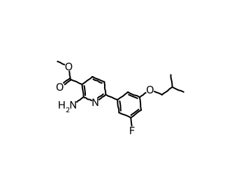 COC(=O)c1ccc(-c2cc(F)cc(OCC(C)C)c2)nc1N